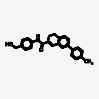 Cc1ccc(-c2ccc3c(c2)C=C(C(=O)Nc2ccc(CO)cc2)CC3)cc1